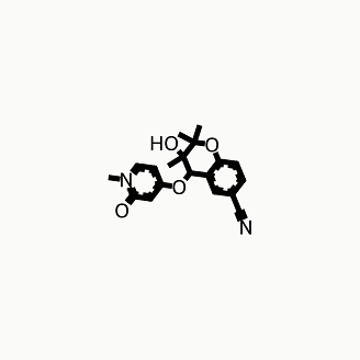 Cn1ccc(OC2c3cc(C#N)ccc3OC(C)(C)C2(C)O)cc1=O